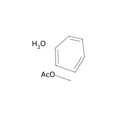 COC(C)=O.O.c1ccccc1